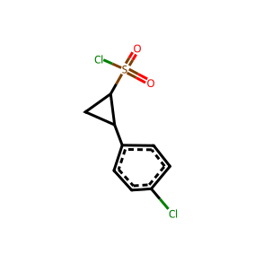 O=S(=O)(Cl)C1CC1c1ccc(Cl)cc1